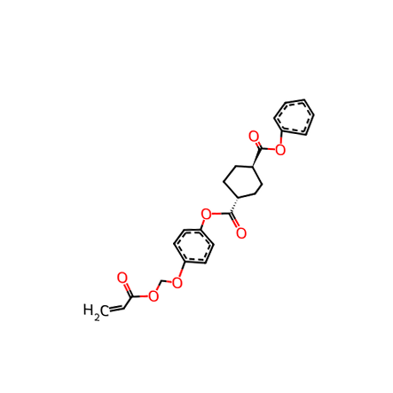 C=CC(=O)OCOc1ccc(OC(=O)[C@H]2CC[C@H](C(=O)Oc3ccccc3)CC2)cc1